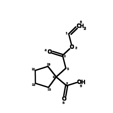 C=COC(=O)CC1(C(=O)O)CCCC1